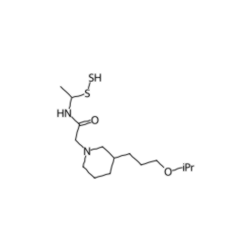 CC(C)OCCCC1CCCN(CC(=O)NC(C)SS)C1